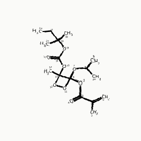 C=C(C)C(=O)OC1(OC(C)C)OOC1(C)OC(=O)OC(C)(C)CC